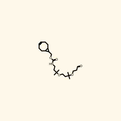 CC(C)(CCNC(=O)OCC1C2CCC#CCCC21)OCCC(C)(C)OCCC=O